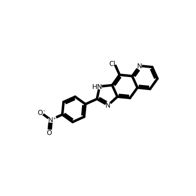 O=[N+]([O-])c1ccc(-c2nc3cc4cccnc4c(Cl)c3[nH]2)cc1